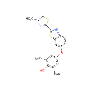 COc1cc(Oc2ccc3nc(C4=NC(C(=O)O)CS4)sc3c2)cc(OC)c1O